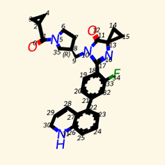 O=C(C1CC1)N1CC[C@@H](CN2C(=O)C3(CC3)N=C2c2ccc(-c3cccc4c3C=CCN4)cc2F)C1